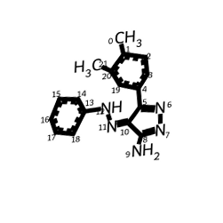 Cc1ccc(C2=NN=C(N)/C2=N/Nc2ccccc2)cc1C